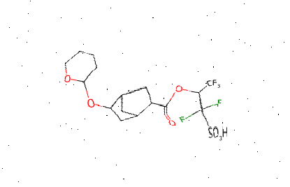 O=C(OC(C(F)(F)F)C(F)(F)S(=O)(=O)O)C1CC2CC1CC2OC1CCCCO1